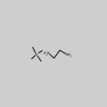 C[N+](C)(C)C.NCCN